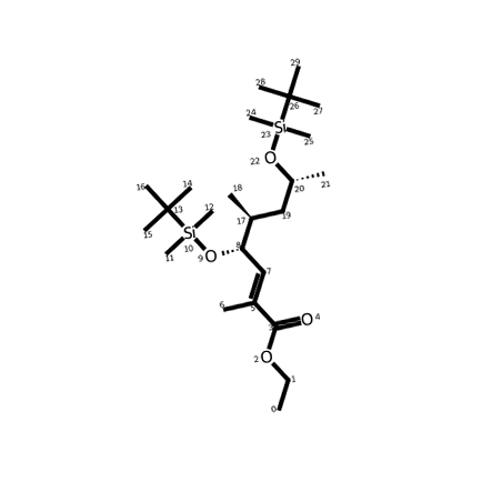 CCOC(=O)/C(C)=C/[C@H](O[Si](C)(C)C(C)(C)C)[C@@H](C)C[C@@H](C)O[Si](C)(C)C(C)(C)C